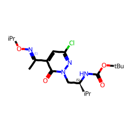 C/C(=N\OC(C)C)c1cc(Cl)nn(C[C@@H](NC(=O)OC(C)(C)C)C(C)C)c1=O